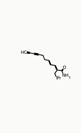 C#CC#CCC/C=C/C=C(\CC(C)C)C(N)=O